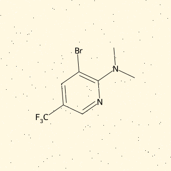 CN(C)c1ncc(C(F)(F)F)cc1Br